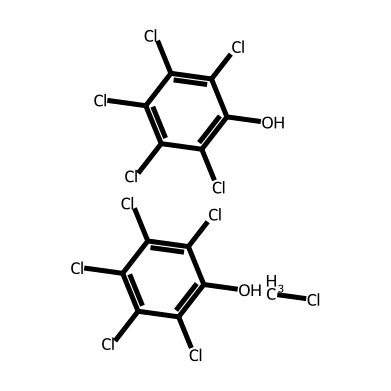 CCl.Oc1c(Cl)c(Cl)c(Cl)c(Cl)c1Cl.Oc1c(Cl)c(Cl)c(Cl)c(Cl)c1Cl